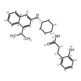 CN(C)c1cc(N[C@H]2CC[C@@H](NC(=O)CCc3ccccc3O)CC2)nc2ccccc12